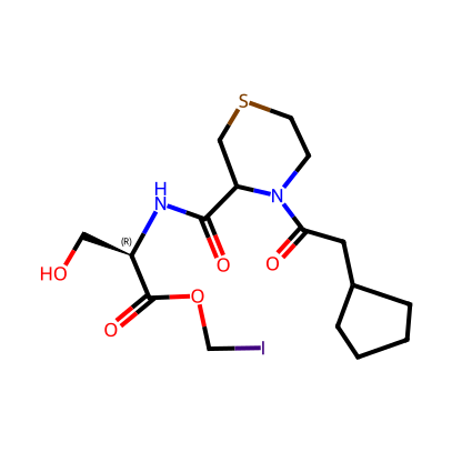 O=C(N[C@H](CO)C(=O)OCI)C1CSCCN1C(=O)CC1CCCC1